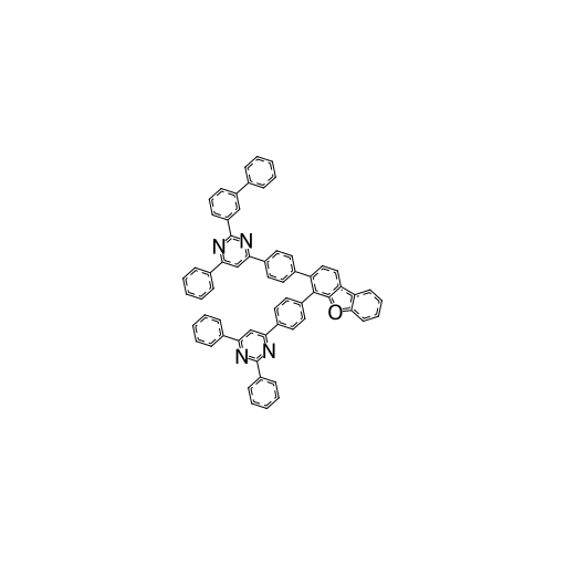 c1ccc(-c2cccc(-c3nc(-c4ccccc4)cc(-c4ccc(-c5ccc6c(oc7ccccc76)c5-c5ccc(-c6cc(-c7ccccc7)nc(-c7ccccc7)n6)cc5)cc4)n3)c2)cc1